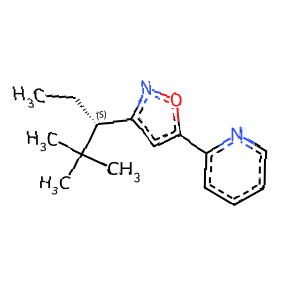 CC[C@H](c1cc(-c2ccccn2)on1)C(C)(C)C